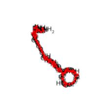 CO[C@H]1CC2CC[C@@H](C)[C@@](O)(O2)C(=O)C(=O)N2CCCC[C@H]2C(=O)O[C@H](CC[C@H]2CC[C@H](OC(=O)N3CCc4nc(N5CCN(c6ncc(C(=O)NCCOCCOCCOCCOCCC(=O)N7CCc8cc(Cn9nc(-c%10ccc%11oc(N)nc%11c%10)c%10c(N)ncnc%109)ccc8C7)cn6)CC5)ncc4C3)CC2)CC(=O)[C@H](C)/C=C(\C)[C@@H](O)[C@@H](OC)C(=O)[C@H](C)C[C@H](C)/C=C/C=C/C=C/1C